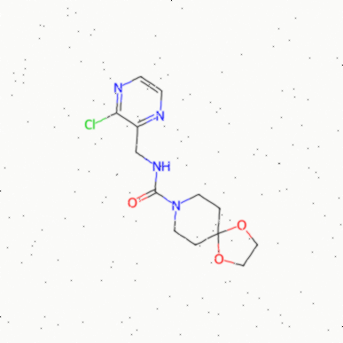 O=C(NCc1nccnc1Cl)N1CCC2(CC1)OCCO2